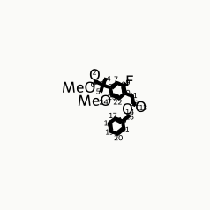 COC(=O)C(C)(C)c1cc(F)c(CC(=O)OCc2ccccc2)cc1OC